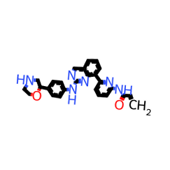 C=CC(=O)Nc1cccc(-c2cccc3cnc(Nc4ccc(C5CNCCO5)cc4)nc23)n1